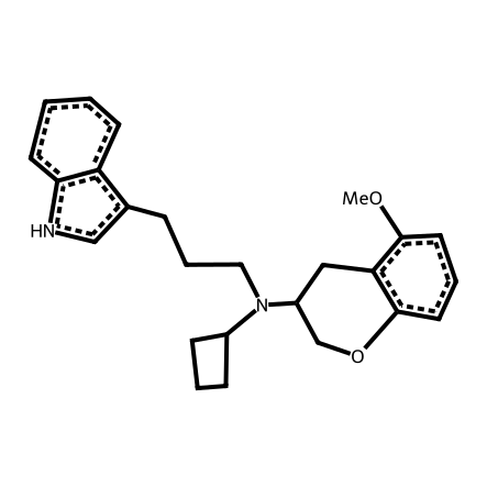 COc1cccc2c1CC(N(CCCc1c[nH]c3ccccc13)C1CCC1)CO2